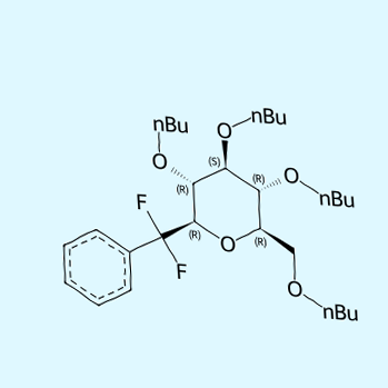 CCCCOC[C@H]1O[C@@H](C(F)(F)c2ccccc2)[C@H](OCCCC)[C@@H](OCCCC)[C@@H]1OCCCC